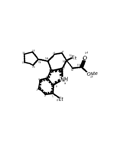 CCc1cccc2c3c([nH]c12)C(CC)(CC(=O)OC)CCC3C1CCCC1